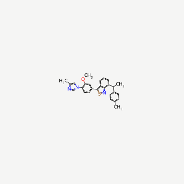 COc1cc(-c2snc3c(C(C)c4ccc(C)cc4)cccc23)ccc1-n1cnc(C)c1